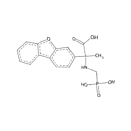 CC(NCP(=O)(O)O)(C(=O)O)c1ccc2c(c1)oc1ccccc12